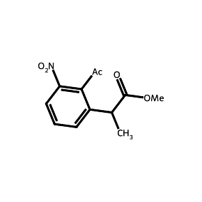 COC(=O)C(C)c1cccc([N+](=O)[O-])c1C(C)=O